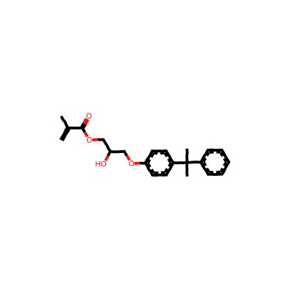 C=C(C)C(=O)OCC(O)COc1ccc(C(C)(C)c2ccccc2)cc1